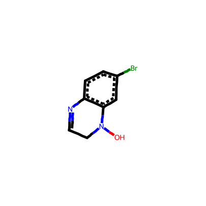 ON1CC=Nc2ccc(Br)cc21